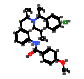 CCCN(C(C)Cc1cccc(NC(=O)c2ccc(OC)cc2)c1)C(C)c1ccccc1.Cl